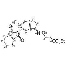 CCOC(=O)CCON=C1CCc2cc(F)c(N3C(=O)C4=C(CCCC4)C3=O)cc21